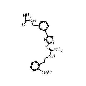 COc1ccccc1CCNC(N)=Nc1nc(-c2cccc(CNC(N)=O)c2)cs1